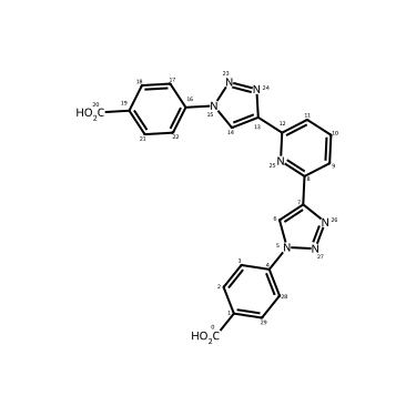 O=C(O)c1ccc(-n2cc(-c3cccc(-c4cn(-c5ccc(C(=O)O)cc5)nn4)n3)nn2)cc1